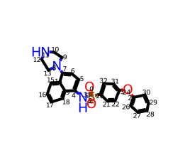 O=S(=O)(Nc1ccc(N2CCNCC2)c2ccccc12)c1ccc(Oc2ccccc2)cc1